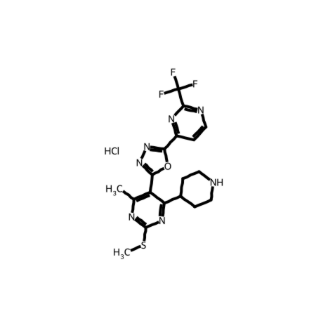 CSc1nc(C)c(-c2nnc(-c3ccnc(C(F)(F)F)n3)o2)c(C2CCNCC2)n1.Cl